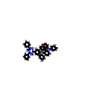 c1ccc(-c2nc(-c3ccccc3)nc(-c3ccc([Si](c4ccccc4)(c4ccccc4)c4cccc5c4c4ccccc4n5-c4ccccc4)cc3)n2)cc1